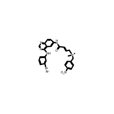 C[N+](C)(C/C=C/C(=O)Nc1ccc2ncnc(Nc3cccc(Br)c3)c2c1)Cc1ccc([N+](=O)[O-])cc1.[Br-]